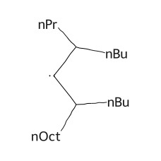 CCCCCCCCC([CH]C(CCC)CCCC)CCCC